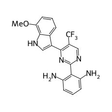 COc1cccc2c(-c3nc(-c4c(N)cccc4N)ncc3C(F)(F)F)c[nH]c12